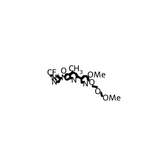 COCCOCCOc1ncc(-c2cc(C)c3c(n2)CN(c2cnn(CC(F)(F)F)c2)C3=O)cc1OC